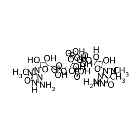 C/N=C/N(c1nc(N)[nH]c(=O)c1C)[C@@H]1O[C@H](COP(=O)(O)OC[C@H](OP(=O)(O)O)[C@@H](COP(=O)(O)OC[C@H]2O[C@@H](n3c[n+](C)c4c(=O)[nH]c(N)nc43)[C@H](O)[C@@H]2O)OP(=O)(O)O)[C@@H](O)[C@H]1O